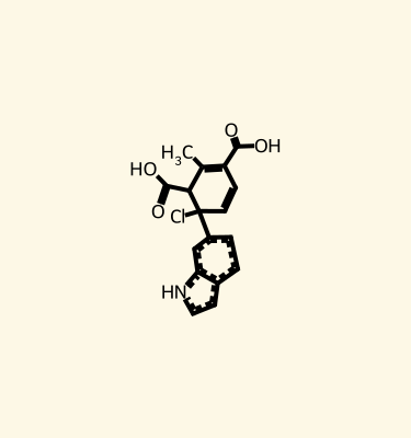 CC1=C(C(=O)O)C=CC(Cl)(c2ccc3cc[nH]c3c2)C1C(=O)O